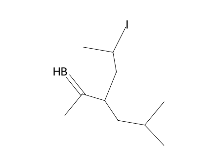 B=C(C)C(CC(C)C)CC(C)I